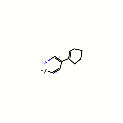 C/C=C\C(=C/N)C1=CCCCC1